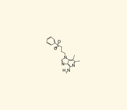 Cc1nc(N)c2ncn(CCCS(=O)(=O)c3ccccc3)c2c1C